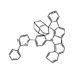 c1ccc(-c2nccc(-c3ccc(-n4c5c6c(ccc5c5ccc7ccccc7c54)-c4ccccc4C64C5CC6CC(C5)CC4C6)cc3)n2)cc1